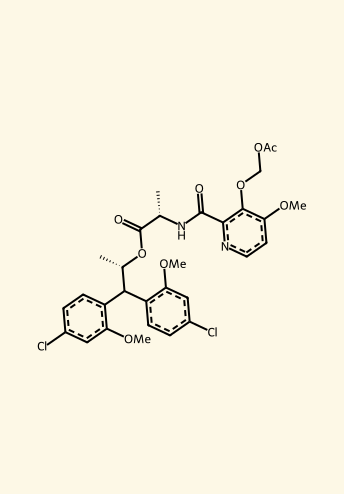 COc1cc(Cl)ccc1C(c1ccc(Cl)cc1OC)[C@H](C)OC(=O)[C@H](C)NC(=O)c1nccc(OC)c1OCOC(C)=O